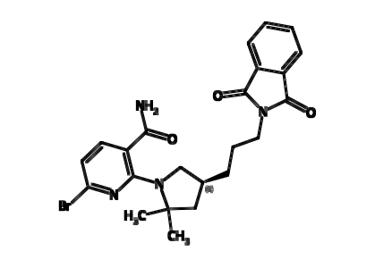 CC1(C)C[C@H](CCCN2C(=O)c3ccccc3C2=O)CN1c1nc(Br)ccc1C(N)=O